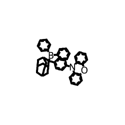 c1ccc(B(c2ccccc2)C2(c3ccc(N4c5ccccc5Oc5ccccc54)cc3)C3CC4CC(C3)CC2C4)cc1